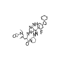 CCN(C[C@H](C)C=C(C#N)C(=O)N1CCCC(n2nc(-c3ccc(Oc4ccccc4)cc3F)c3c(N)ncnc32)C1)C1COC1